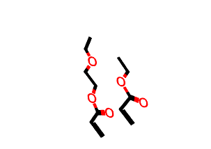 C=CC(=O)OCC.C=CC(=O)OCCOCC